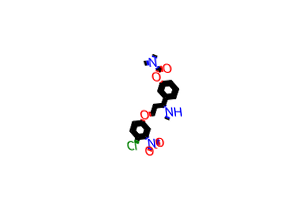 CNC(CCOc1ccc(Cl)c([N+](=O)[O-])c1)c1cccc(OC(=O)N(C)C)c1